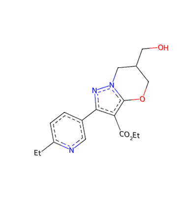 CCOC(=O)c1c(-c2ccc(CC)nc2)nn2c1OCC(CO)C2